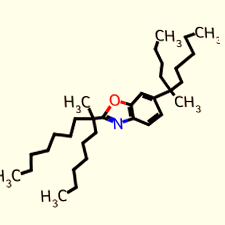 CCCCCCCC(C)(CCCCCC)c1nc2ccc(C(C)(CCCC)CCCCC)cc2o1